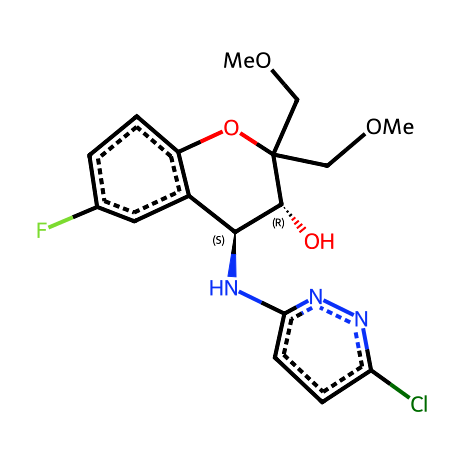 COCC1(COC)Oc2ccc(F)cc2[C@H](Nc2ccc(Cl)nn2)[C@H]1O